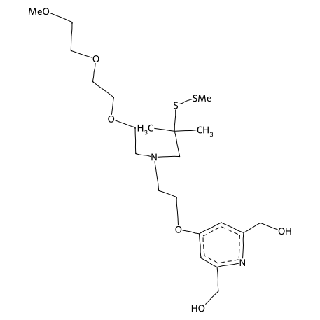 COCCOCCOCCN(CCOc1cc(CO)nc(CO)c1)CC(C)(C)SSC